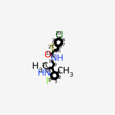 Cc1ccc(F)c2c1C(CCNC(=O)c1cc3ccc(Cl)cc3s1)C(C)N2